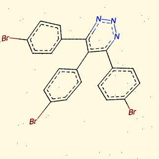 Brc1ccc(-c2nnnc(-c3ccc(Br)cc3)c2-c2ccc(Br)cc2)cc1